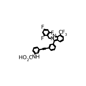 O=C(O)Nc1cccc(C#Cc2cccc(-c3c4cccc(C(F)(F)F)c4nn3Cc3c(F)cc(F)cc3F)c2)c1